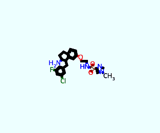 Cn1cnc(S(=O)(=O)NCCOc2ccc3c(c2)C(Cc2cc(F)cc(Cl)c2)C(N)CC3)c1